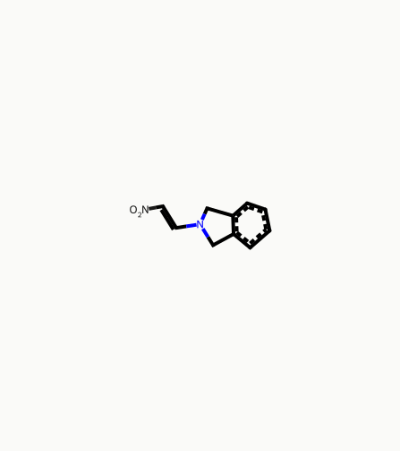 O=[N+]([O-])/C=C/N1Cc2ccccc2C1